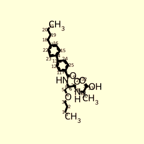 CCCCOC[C@@H](NC(=O)c1ccc(-c2ccc(CCCC)cc2)cc1)C(=O)N[C@H](C)C(=O)O